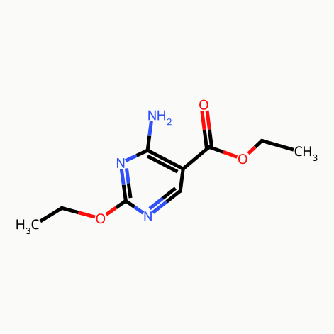 CCOC(=O)c1cnc(OCC)nc1N